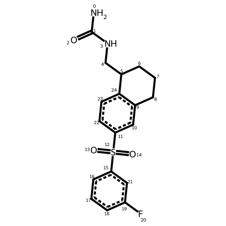 NC(=O)NCC1CCCc2cc(S(=O)(=O)c3cccc(F)c3)ccc21